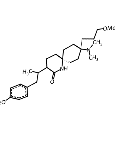 COCCC[C@]1(N(C)C)CC[C@]2(CCC(C(C)Cc3ccc(OC)cc3)C(=O)N2)CC1